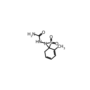 CC1=CC=CCC12N(NC(N)=O)S2(=O)=O